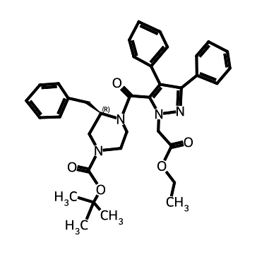 CCOC(=O)Cn1nc(-c2ccccc2)c(-c2ccccc2)c1C(=O)N1CCN(C(=O)OC(C)(C)C)C[C@H]1Cc1ccccc1